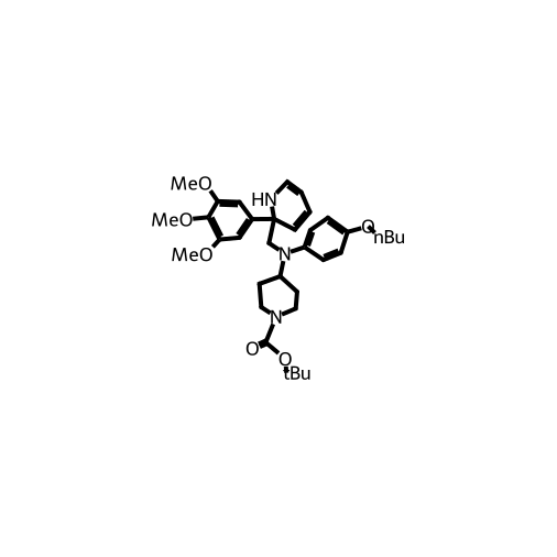 CCCCOc1ccc(N(CC2(c3cc(OC)c(OC)c(OC)c3)C=CC=CN2)C2CCN(C(=O)OC(C)(C)C)CC2)cc1